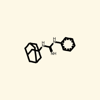 N=C(Nc1ccccc1)NC12CC3CC(CC(C3)C1)C2